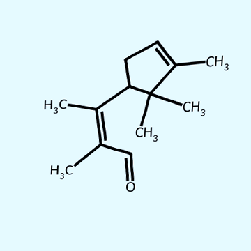 CC1=CCC(C(C)=C(C)C=O)C1(C)C